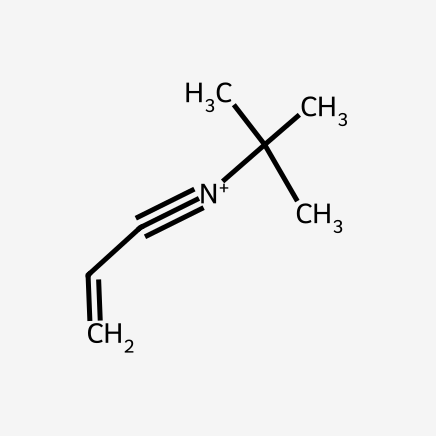 C=CC#[N+]C(C)(C)C